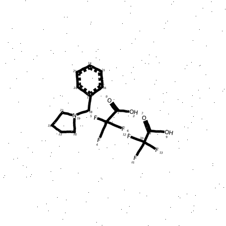 O=C(O)C(F)(F)F.O=C(O)C(F)(F)F.c1ccc(CN2CCCC2)cc1